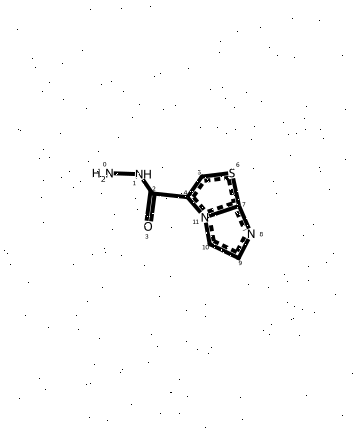 NNC(=O)c1csc2nccn12